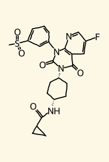 CS(=O)(=O)c1cccc(-n2c(=O)n([C@H]3CC[C@@H](NC(=O)C4CC4)CC3)c(=O)c3cc(F)cnc32)c1